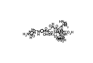 CC(C)(SSCCOC=O)[C@H](NC(=O)[C@H](CC(=O)O)NC(=O)[C@H](CC(=O)O)NC(=O)C(CCCNC(=N)N)NC(=O)[C@H](CC(=O)O)NC(=O)CC[C@H](NC(=O)c1ccc(NCc2cnc3nc(N)[nH]c(=O)c3n2)cc1)C(=O)O)C(=O)O